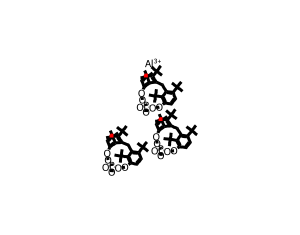 CC(C)(C)c1ccc2c(C(C)(C)C)c1Cc1c(C(C)(C)C)ccc(c1C(C)(C)C)OOP(=O)([O-])OO2.CC(C)(C)c1ccc2c(C(C)(C)C)c1Cc1c(C(C)(C)C)ccc(c1C(C)(C)C)OOP(=O)([O-])OO2.CC(C)(C)c1ccc2c(C(C)(C)C)c1Cc1c(C(C)(C)C)ccc(c1C(C)(C)C)OOP(=O)([O-])OO2.[Al+3]